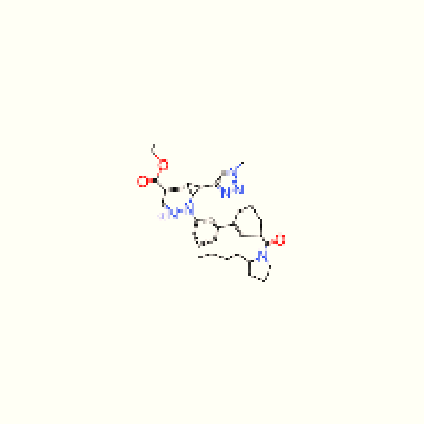 C=C(/C=N\N(c1cccc(C2=CC(C(=O)N3CCCC3CCCC)CCC2)c1)C1CC1c1cn(C)nn1)C(=O)OCC